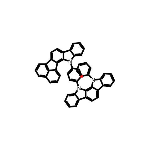 c1ccc(-n2c3ccccc3c3ccc4c5ccccc5n(-c5ccc(-n6c7ccccc7c7ccc8c(c76)-c6cccc7cccc-8c67)cc5)c4c32)cc1